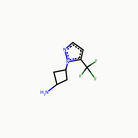 NC1CC(n2nccc2C(F)(F)F)C1